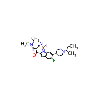 CCC(C)N1CCC(c2cc3c(cc2F)cc(C(=O)/C(C#N)=C/N(C)CC)n3SI)CC1